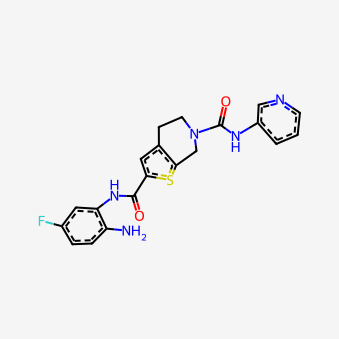 Nc1ccc(F)cc1NC(=O)c1cc2c(s1)CN(C(=O)Nc1cccnc1)CC2